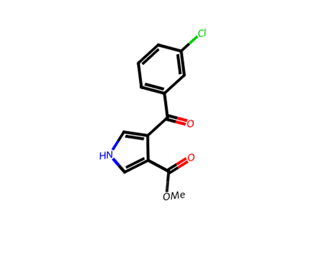 COC(=O)c1c[nH]cc1C(=O)c1cccc(Cl)c1